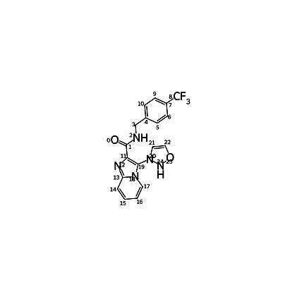 O=C(NCc1ccc(C(F)(F)F)cc1)c1nc2ccccn2c1N1C=CON1